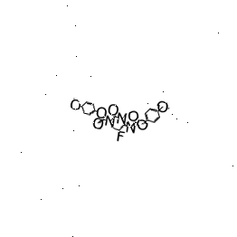 COc1ccc(OC(=O)/N=C2/C(F)CN(C(=O)Oc3ccc(OC)cc3)C(=O)N2C)cc1